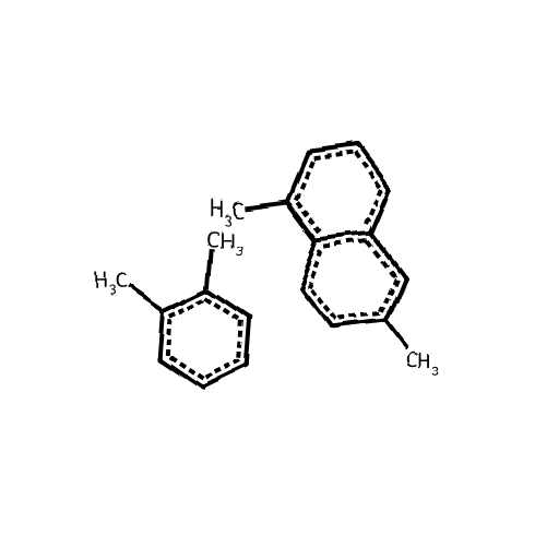 Cc1ccc2c(C)cccc2c1.Cc1ccccc1C